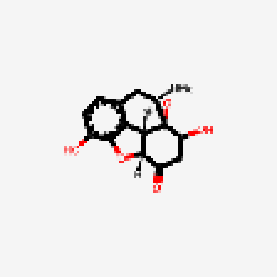 CCC[C@]12c3c4ccc(O)c3O[C@H]1C(=O)CC(O)[C@@]2(O)[C@H](NC)C4